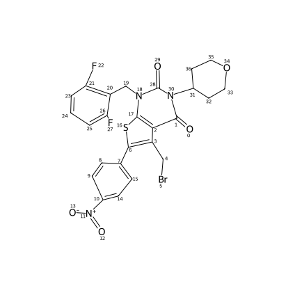 O=c1c2c(CBr)c(-c3ccc([N+](=O)[O-])cc3)sc2n(Cc2c(F)cccc2F)c(=O)n1C1CCOCC1